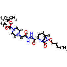 CCCCON1C(=O)N2C[C@@H]1CC[C@H]2C(=O)NNC(=O)CN1CCN(C(=O)OC(C)(C)C)CC1